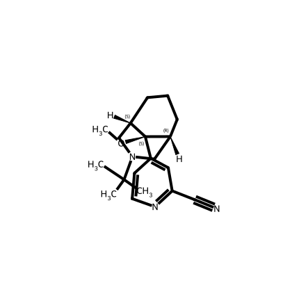 CO[C@]1(c2ccnc(C#N)c2)[C@@H]2CCC[C@H]1CN(C(C)(C)C)C2